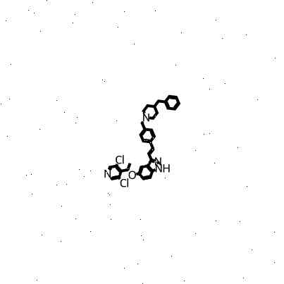 CC(Oc1ccc2[nH]nc(/C=C/c3ccc(CN4CCC(Cc5ccccc5)CC4)cc3)c2c1)c1c(Cl)cncc1Cl